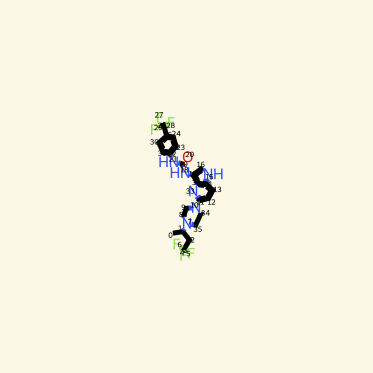 CC(CC(F)(F)F)N1CCN(c2ccc3[nH]cc(NC(=O)Nc4ccc(C(F)(F)F)cc4)c3n2)CC1